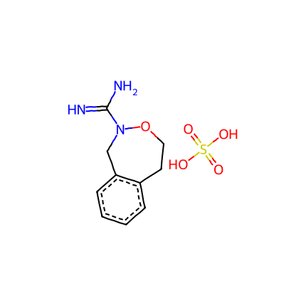 N=C(N)N1Cc2ccccc2CCO1.O=S(=O)(O)O